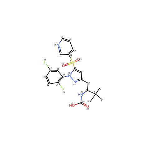 CC(C)(C)C(Cc1cc(S(=O)(=O)c2cccnc2)n(-c2cc(F)ccc2F)n1)NC(=O)O